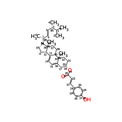 CC(C)[C@@H](C)C=C[C@@H](C)[C@H]1CCC2C3=CC=C4C[C@@H](OC(=O)C=Cc5ccc(O)cc5)CC[C@]4(C)C3CC[C@@]21C